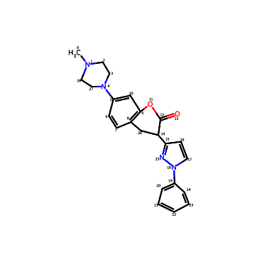 CN1CCN(c2ccc3c(c2)OC(=O)C(c2ccn(-c4ccccc4)n2)C3)CC1